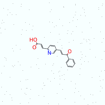 O=C(O)C=Cc1ccc(C=CC(=O)c2ccccc2)cn1